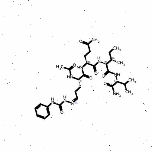 CC[C@@H](C)[C@H](NC(=O)[C@H](CCC(N)=O)NC(=O)[C@H](CC/C=N\NC(=O)Nc1ccccc1)NC(C)=O)C(=O)N[C@H](C(N)=O)C(C)C